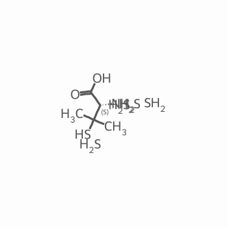 CC(C)(S)[C@@H](N)C(=O)O.S.S.S.S